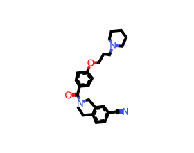 N#Cc1ccc2c(c1)CN(C(=O)c1ccc(OCCCN3CCCCC3)cc1)CC2